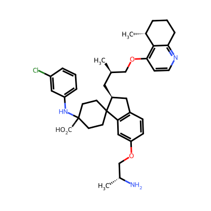 C[C@@H](COc1ccnc2c1[C@H](C)CCC2)C[C@H]1Cc2ccc(OC[C@@H](C)N)cc2C12CCC(Nc1cccc(Cl)c1)(C(=O)O)CC2